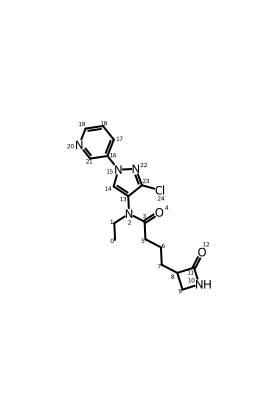 CCN(C(=O)CCCC1CNC1=O)c1cn(-c2cccnc2)nc1Cl